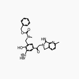 Br.Cc1ccc2c(n1)C(=N)N(CC(=O)c1cc(CN(C)C(=O)OCc3ccccc3)c(O)c(C(C)(C)C)c1)C2